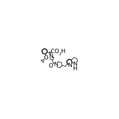 O=C(O)[C@@H](c1ccccc1OC1CC1)N1CC(C(=O)N2CCC(Cc3ccc4c(n3)NCCC4)CC2)C1